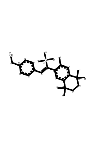 Cc1cc2c(cc1C(=Cc1ccc(CO)cc1)[Si](C)(C)C)C(C)(C)CCC2(C)C